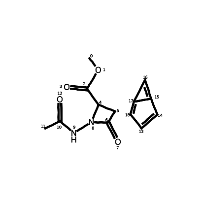 COC(=O)C1CC(=O)N1NC(C)=O.c1cc2cc-2c1